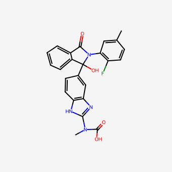 Cc1ccc(F)c(N2C(=O)c3ccccc3C2(O)c2ccc3[nH]c(N(C)C(=O)O)nc3c2)c1